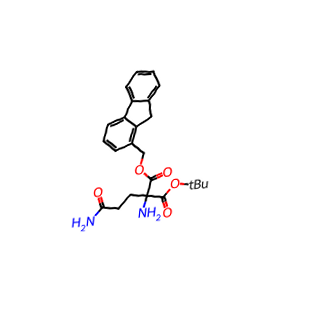 CC(C)(C)OC(=O)C(N)(CCC(N)=O)C(=O)OCc1cccc2c1Cc1ccccc1-2